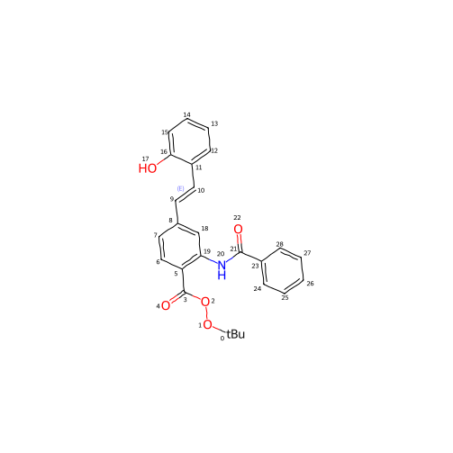 CC(C)(C)OOC(=O)c1ccc(/C=C/c2ccccc2O)cc1NC(=O)c1ccccc1